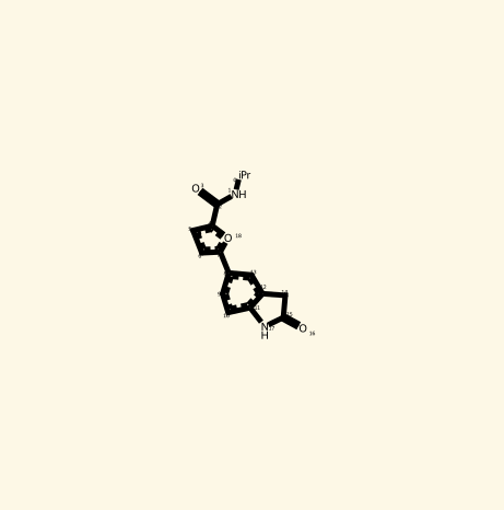 CC(C)NC(=O)c1ccc(-c2ccc3c(c2)CC(=O)N3)o1